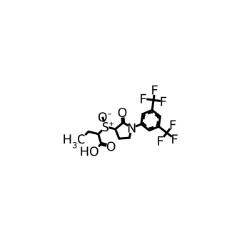 CCC(C(=O)O)[S+]([O-])C1CCN(c2cc(C(F)(F)F)cc(C(F)(F)F)c2)C1=O